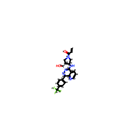 C=CC(=O)N1C[C@@H](CO)[C@H](Nc2nnc(-c3ccc(C(F)(F)F)cc3)c3ncccc23)C1